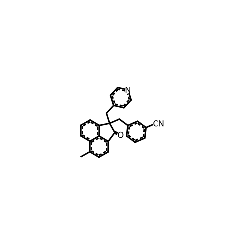 Cc1ccc2c3c(cccc13)C(Cc1ccncc1)(Cc1cccc(C#N)c1)C2=O